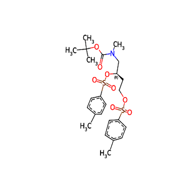 Cc1ccc(S(=O)(=O)OCC[C@H](CN(C)C(=O)OC(C)(C)C)OS(=O)(=O)c2ccc(C)cc2)cc1